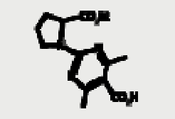 CCOC(=O)C1CCCN1c1nc(C)c(C(=O)O)c(C)n1